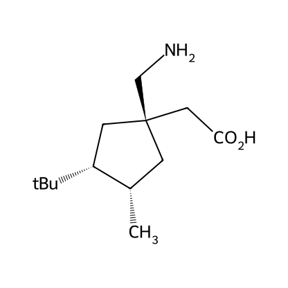 C[C@H]1C[C@@](CN)(CC(=O)O)C[C@H]1C(C)(C)C